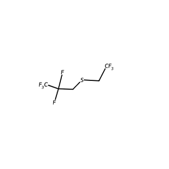 FC(F)(F)CSCC(F)(F)C(F)(F)F